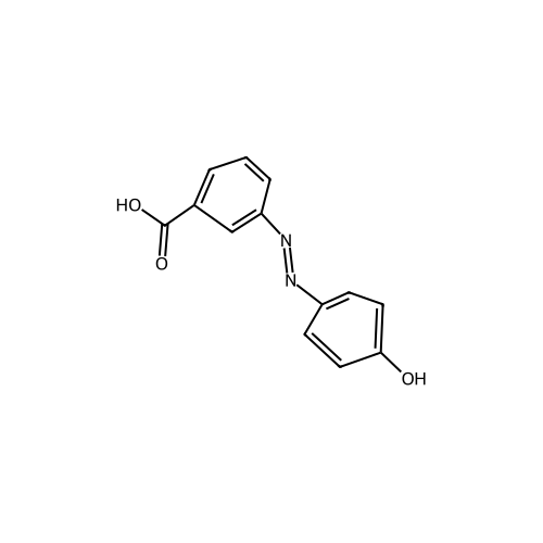 O=C(O)c1cccc(N=Nc2ccc(O)cc2)c1